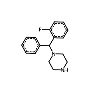 Fc1ccccc1C(c1ccccc1)N1CCNCC1